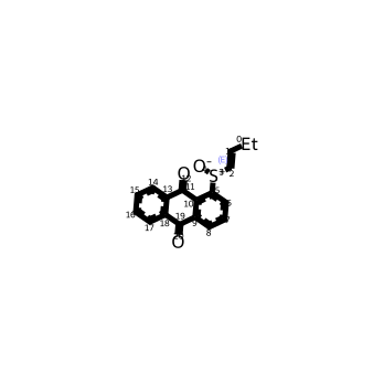 CC/C=C/[S+]([O-])c1cccc2c1C(=O)c1ccccc1C2=O